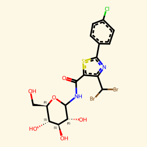 O=C(NC1O[C@H](CO)[C@@H](O)[C@H](O)[C@H]1O)c1sc(-c2ccc(Cl)cc2)nc1C(Br)Br